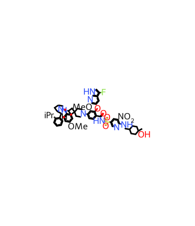 COc1ccc(CN2C3CC2[C@@H](c2ccccc2C(C)C)N(C2CC4(CCN(c5ccc(C(=O)NS(=O)(=O)c6cnc(NCC7CCC(C)(O)CC7)c([N+](=O)[O-])c6)c(Oc6cc7c(F)c[nH]c7nc6OC)c5)CC4)C2)C3)cc1